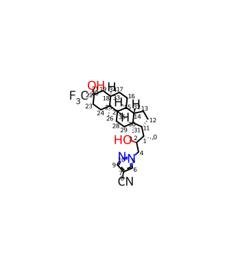 C[C@H]([C@H](O)Cn1cc(C#N)cn1)[C@H]1CC[C@H]2[C@@H]3CC[C@@H]4C[C@@](O)(C(F)(F)F)CC[C@]4(C)[C@H]3CC[C@]12C